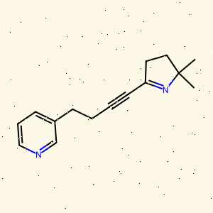 CC1(C)CCC(C#CCCc2cccnc2)=N1